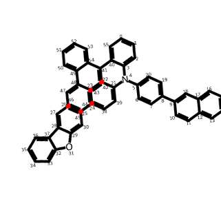 c1ccc(N(c2ccc(-c3ccc4ccccc4c3)cc2)c2ccc(-c3ccc4c(c3)oc3ccccc34)cc2)c(-c2cc3ccccc3c3ccccc23)c1